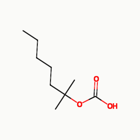 CCCCCC(C)(C)OC(=O)O